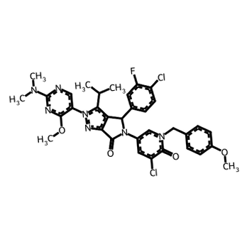 COc1ccc(Cn2cc(N3C(=O)c4nn(-c5cnc(N(C)C)nc5OC)c(C(C)C)c4C3c3ccc(Cl)c(F)c3)cc(Cl)c2=O)cc1